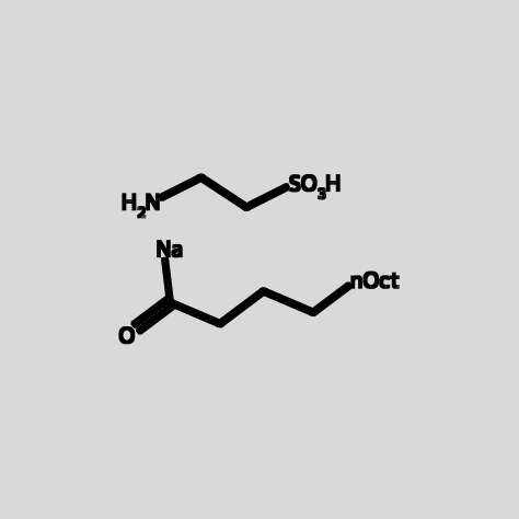 CCCCCCCCCCC[C](=O)[Na].NCCS(=O)(=O)O